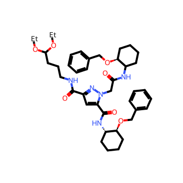 CCOC(CCCNC(=O)c1cc(C(=O)N[C@H]2CCCC[C@@H]2OCc2ccccc2)n(CC(=O)NC2CCCC[C@@H]2OCc2ccccc2)n1)OCC